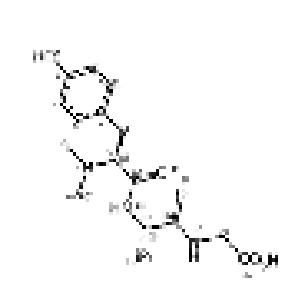 CC(=O)N(I)[C@@H](Cc1ccc(O)cc1)C(=O)N[C@H](C(=O)NCC(=O)O)C(C)C